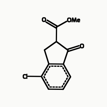 COC(=O)C1Cc2c(Cl)cccc2C1=O